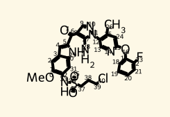 COc1cc2cc(C(=O)c3cnn(-c4cnc(Oc5ccccc5F)cc4C)c3N)[nH]c2cc1NS(=O)(=O)CCCCl